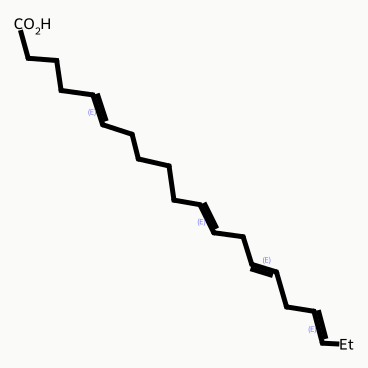 CC/C=C/C/C=C/C/C=C/CCCC/C=C/CCCC(=O)O